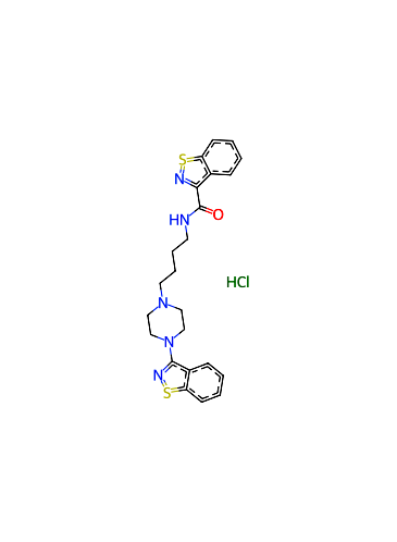 Cl.O=C(NCCCCN1CCN(c2nsc3ccccc23)CC1)c1nsc2ccccc12